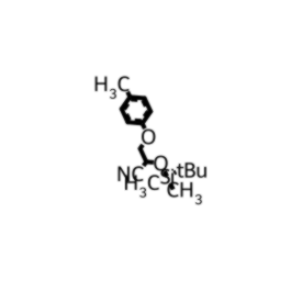 Cc1ccc(OCC(C#N)O[Si](C)(C)C(C)(C)C)cc1